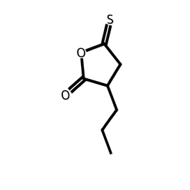 CCCC1CC(=S)OC1=O